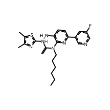 C=C(Nc1nc(C)c(C)s1)N(CCCCCC)c1nc(-c2cncc(F)c2)ccc1N